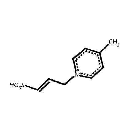 Cc1cc[n+](CC=CS(=O)(=O)O)cc1